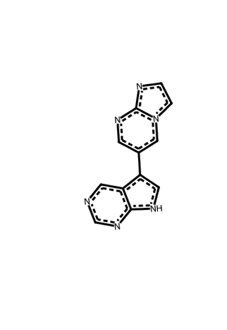 c1ncc2c(-c3cnc4nccn4c3)c[nH]c2n1